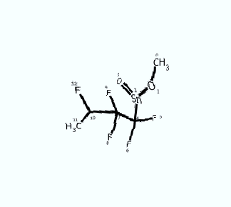 C[O][Sn](=[O])[C](F)(F)C(F)(F)C(C)F